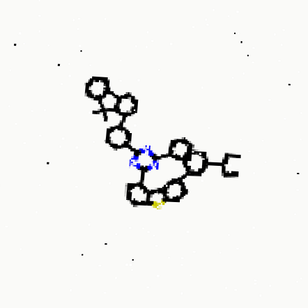 C=C/C(=C\C)c1cccc(-c2ccc3sc4cccc(-c5nc(-c6ccccc6)nc(-c6cccc(-c7cccc8c7C(C)(C)c7ccccc7-8)c6)n5)c4c3c2)c1